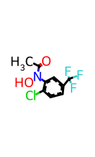 CC(=O)N(O)c1cc(C(F)(F)F)ccc1Cl